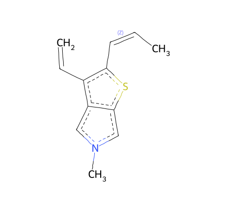 C=Cc1c(/C=C\C)sc2cn(C)cc12